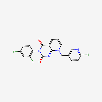 O=c1nc2n(Cc3ccc(Cl)nc3)cccc-2c(=O)n1-c1ccc(F)cc1F